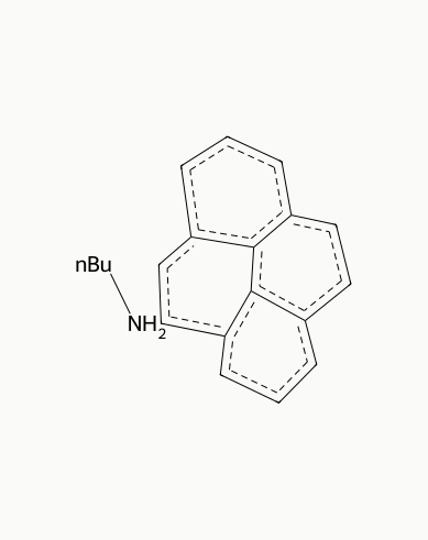 CCCCN.c1cc2ccc3cccc4ccc(c1)c2c34